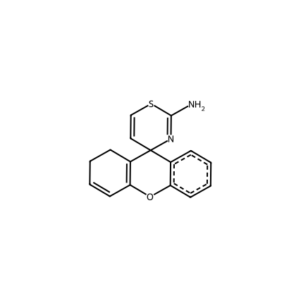 NC1=NC2(C=CS1)C1=C(C=CCC1)Oc1ccccc12